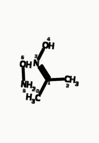 CC(C)=NO.NO